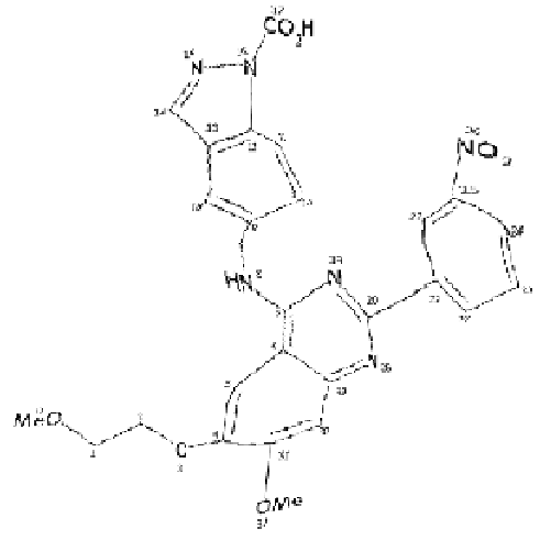 COCCOc1cc2c(Nc3ccc4c(cnn4C(=O)O)c3)nc(-c3cccc([N+](=O)[O-])c3)nc2cc1OC